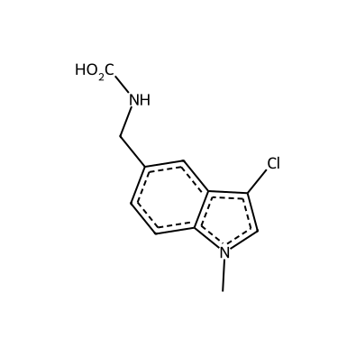 Cn1cc(Cl)c2cc(CNC(=O)O)ccc21